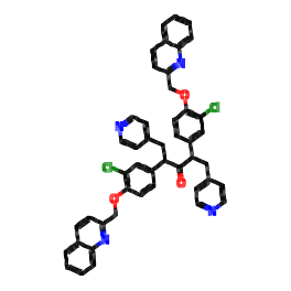 O=C(C(Cc1ccncc1)c1ccc(OCc2ccc3ccccc3n2)c(Cl)c1)C(Cc1ccncc1)c1ccc(OCc2ccc3ccccc3n2)c(Cl)c1